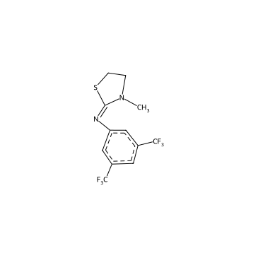 CN1CCSC1=Nc1cc(C(F)(F)F)cc(C(F)(F)F)c1